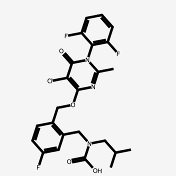 Cc1nc(OCc2ccc(F)cc2CN(CC(C)C)C(=O)O)c(Cl)c(=O)n1-c1c(F)cccc1F